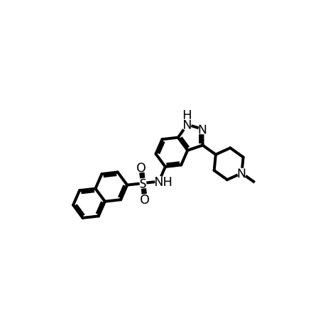 CN1CCC(c2n[nH]c3ccc(NS(=O)(=O)c4ccc5ccccc5c4)cc23)CC1